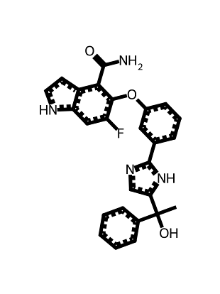 CC(O)(c1ccccc1)c1cnc(-c2cccc(Oc3c(F)cc4[nH]ccc4c3C(N)=O)c2)[nH]1